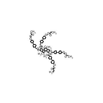 C=CC(=O)OCOc1ccc(-c2ccc(COOc3cc4c(cc3OOCc3ccc(-c5ccc(OCOC(=O)C=C)cc5)cc3)C3(CC4(C)C)CC(C)(C)c4cc(OC(=O)c5ccc(-c6ccc(OCOC(=O)C=C)cc6)cc5)c(OC(=O)c5ccc(-c6ccc(OCOC(=O)C=C)cc6)cc5)cc43)cc2)cc1